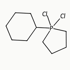 ClP1(Cl)(C2CCCCC2)CCCC1